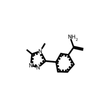 C=C(N)c1cccc(-c2nnc(C)n2C)c1